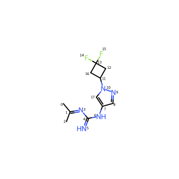 CC(C)=NC(=N)Nc1cnn(C2CC(F)(F)C2)c1